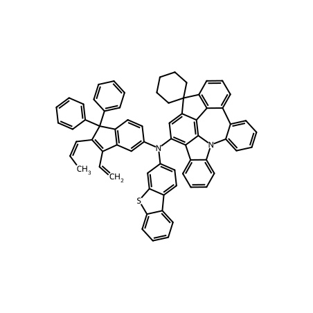 C=CC1=C(/C=C\C)C(c2ccccc2)(c2ccccc2)c2ccc(N(c3ccc4c(c3)sc3ccccc34)c3cc4c5c6c3c3ccccc3n6-c3ccccc3-c3cccc(c3-5)C43CCCCC3)cc21